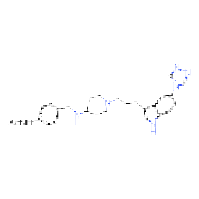 CC(=O)Nc1ccc(CNC2CCN(CCCc3c[nH]c4ccc(-n5cnnc5)cc34)CC2)cc1